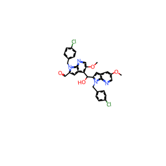 COc1cnc2c(c1)cc(C(O)c1c(OC)cnc3c1cc(C=O)n3Cc1ccc(Cl)cc1)n2Cc1ccc(Cl)cc1